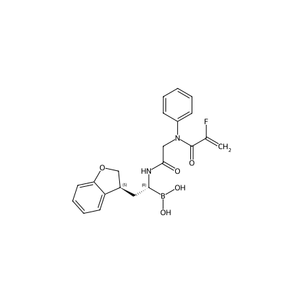 C=C(F)C(=O)N(CC(=O)N[C@@H](C[C@@H]1COc2ccccc21)B(O)O)c1ccccc1